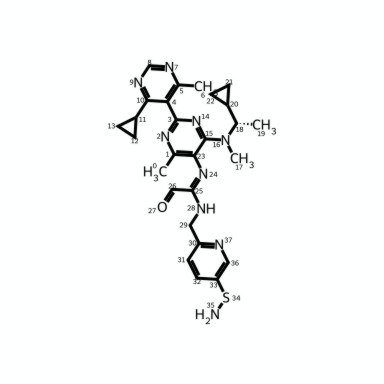 Cc1nc(-c2c(C)ncnc2C2CC2)nc(N(C)[C@@H](C)C2CC2)c1/N=C(\C=O)NCc1ccc(SN)cn1